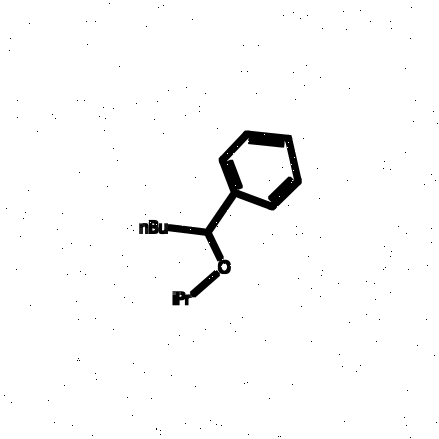 CCCCC(OC(C)C)c1ccccc1